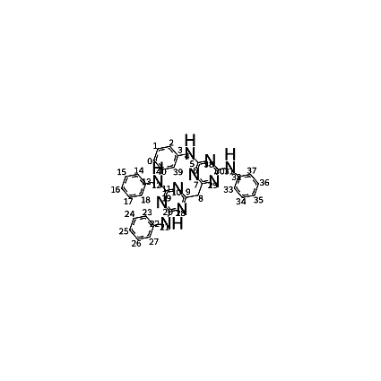 c1ccc(Nc2nc(Cc3nc(Nc4ccccc4)nc(Nc4ccccc4)n3)nc(Nc3ccccc3)n2)cc1